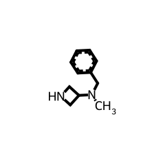 CN(Cc1ccccc1)C1CNC1